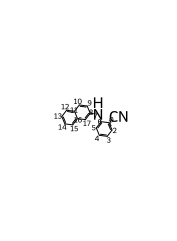 N#Cc1ccccc1Nc1ccc2ccccc2c1